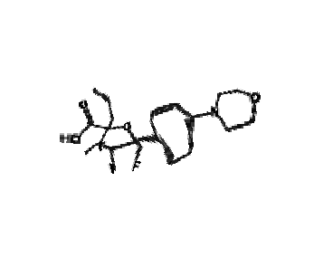 CCC(CC)(OC(F)(c1ccc(N2CCOCC2)cc1)C(F)F)C(=O)O